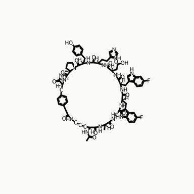 CC(=O)N[C@H]1CCCNC(=O)c2ccc(cc2)C[C@@H](C(N)=O)NC(=O)[C@]2(C)CCCN2C(=O)[C@H](Cc2ccc(O)cc2)NC(=O)[C@H](CCc2cnc[nH]2)NC(=O)[C@H](CC(=O)O)NC(=O)[C@H](Cc2c[nH]c3cc(F)ccc23)NC(=O)[C@H](Cc2c[nH]c3ccc(F)cc23)NC(=O)CNC(=O)[C@H](C)NC1=O